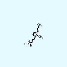 CCCCn1cc[n+](CCCS(=O)(=O)O)c1C